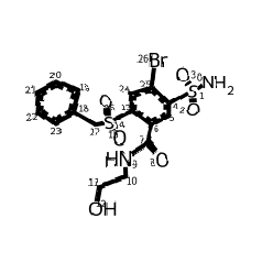 NS(=O)(=O)c1cc(C(=O)NCCO)c(S(=O)(=O)Cc2ccccc2)cc1Br